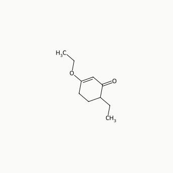 CCOC1=CC(=O)C(CC)CC1